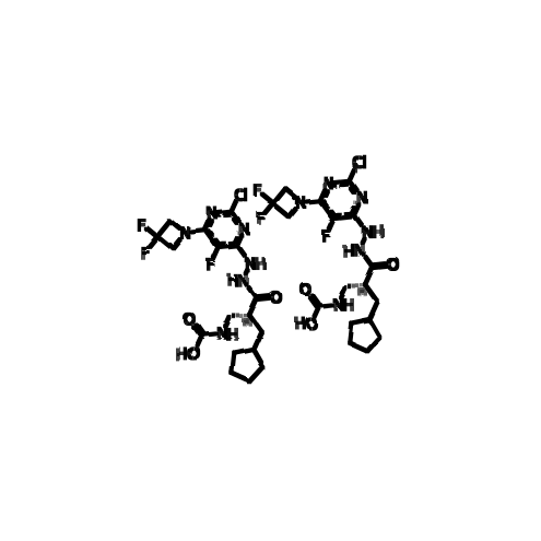 O=C(O)NC[C@@H](CC1CCCC1)C(=O)NNc1nc(Cl)nc(N2CC(F)(F)C2)c1F.O=C(O)NC[C@@H](CC1CCCC1)C(=O)NNc1nc(Cl)nc(N2CC(F)(F)C2)c1F